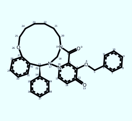 O=C1c2c(OCc3ccccc3)c(=O)ccn2N2CN1CCCCCCOc1ccccc1[C@@H]2c1ccccc1